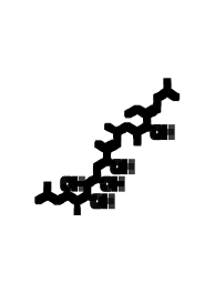 CC/C(=C\CC(C)C)[C@@H](O)C(C)C[C@H](C)/C=C(\C)[C@@H](O)C[C@H](O)C[C@H](O)[C@@H](C)[C@@H](O)CC(C)C